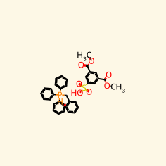 COC(=O)c1cc(C(=O)OC)cc(S(=O)(=O)O)c1.c1ccc(C[PH](c2ccccc2)(c2ccccc2)c2ccccc2)cc1